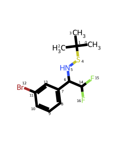 CC(C)(C)SNC(c1cccc(Br)c1)C(F)F